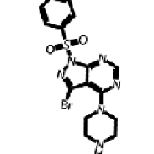 O=S(=O)(c1ccccc1)n1nc(Br)c2c(N3CCNCC3)ncnc21